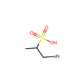 [CH2]C(CCCC)S(=O)(=O)O